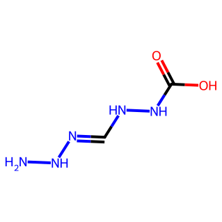 NNN=CNNC(=O)O